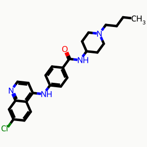 CCCCN1CCC(NC(=O)c2ccc(Nc3ccnc4cc(Cl)ccc34)cc2)CC1